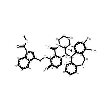 COC(=O)n1cc(COc2c3n(ccc2=O)N([C@@H]2c4ccccc4SCc4c2ccc(F)c4F)[C@@H]2COCCN2C3=O)c2ccccc21